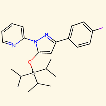 CC(C)[Si](Oc1cc(-c2ccc(I)cc2)nn1-c1ccccn1)(C(C)C)C(C)C